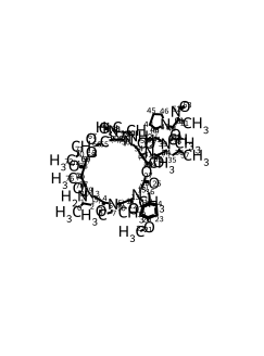 CCC[C@H]1C(=O)N(CC)[C@@H](C)C(=O)N(C)[C@@H](Cc2ccc(OC)cc2)C(=O)O[C@H](C)[C@H](NC(=O)[C@@H](CC(C)C)N(C)C(=O)[C@@H]2CCCN2C(=O)[C@H](C)N=O)C(=O)N(N)[C@H](C(C)C)[C@@H](N=O)CC(=O)O[C@@H](C(C)C)C(=O)[C@H](C)C(=O)N1N